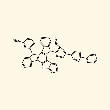 N#Cc1cccc(-n2c3ccccc3c3c4oc5ccccc5c4c4c(c5ccccc5n4-c4ccc(-c5ccc(-c6ccccc6)cc5)cc4C#N)c32)c1